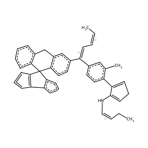 C/C=C\C=C(/c1ccc(C2=CCC=C2N/C=C\CC)c(C)c1)c1ccc2c(c1)Cc1ccccc1C21C2=C(C=C=C2)c2ccccc21